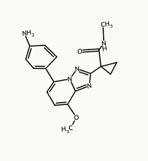 CNC(=O)C1(c2nc3c(OC)ccc(-c4ccc(N)cc4)n3n2)CC1